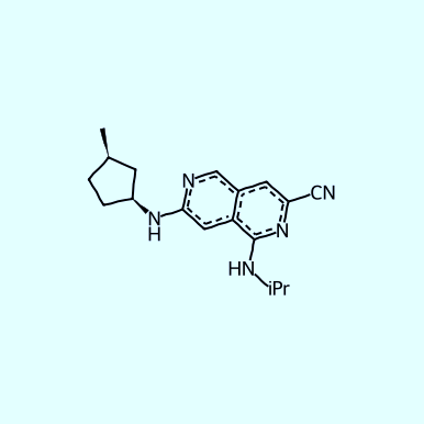 CC(C)Nc1nc(C#N)cc2cnc(N[C@H]3CC[C@@H](C)C3)cc12